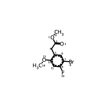 COC(=O)Cc1cc(Br)c(F)cc1OC